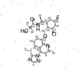 CCc1ncnn1-c1cc(C)nc2c(OCc3c(Cl)cc(F)cc3[C@H](C)NC(=O)C(C)(C)O)cccc12